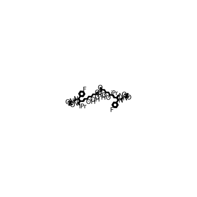 CC(C)c1nc(N(C)S(C)(=O)=O)nc(-c2ccc(F)cc2)c1/C=C/[C@@H](O)C[C@@H](O)CC(=O)OOC(=O)C[C@H](O)C[C@H](O)/C=C/c1c(-c2ccc(F)cc2)nc(N(C)S(C)(=O)=O)nc1C(C)C